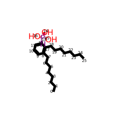 CCCCCCCCc1cccc([PH](O)(O)O)c1CCCCCCCC